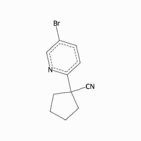 N#CC1(c2ccc(Br)cn2)CCCC1